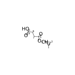 C1=CC1.COC(=O)CCC(=O)O